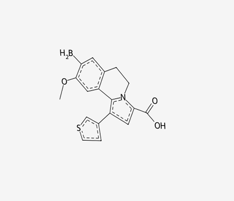 Bc1cc2c(cc1OC)-c1c(-c3ccsc3)cc(C(=O)O)n1CC2